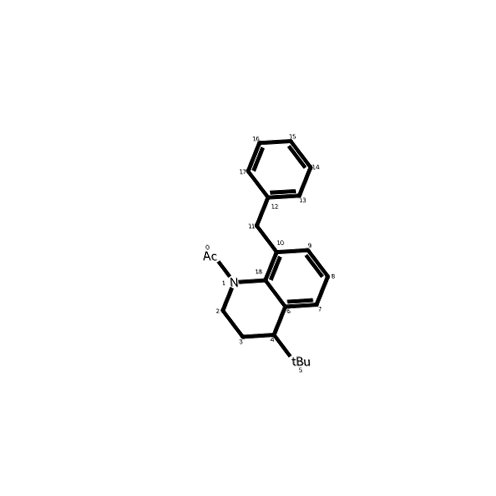 CC(=O)N1CCC(C(C)(C)C)c2cccc(Cc3ccccc3)c21